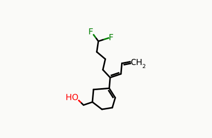 C=C/C=C(\CCCC(F)F)C1=CCCC(CO)C1